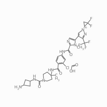 Cn1c(-c2cn([C@@H]3CC3(F)F)nc2C(F)(F)F)cnc1C(=O)Nc1ccc(C(=O)NC2(C)CCN(C(=O)NC3CC(N)C3)CC2)c(Cl)c1.O=CO